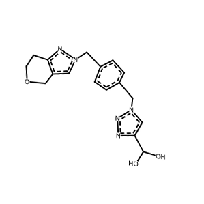 OC(O)c1cn(Cc2ccc(Cn3cc4c(n3)CCOC4)cc2)nn1